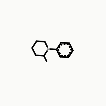 FC1CCCCN1c1cc[c]cc1